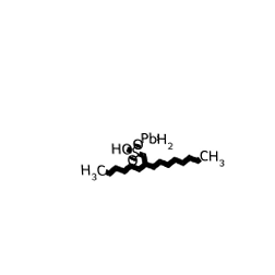 CCCCCCCCC(CCCCCC)CS(=O)(=O)O.[PbH2]